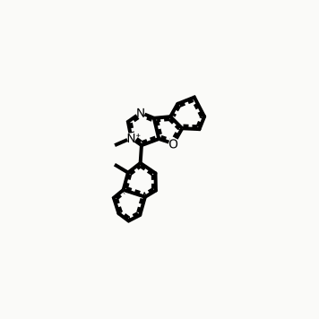 Cc1c(-c2c3oc4ccccc4c3nc[n+]2C)ccc2ccccc12